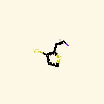 Sc1ccsc1/C=C\I